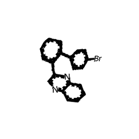 Brc1ccc(-c2ccccc2-c2cnc3ccccc3n2)cc1